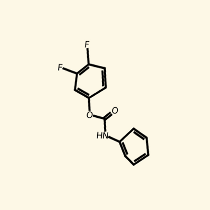 O=C(Nc1ccccc1)Oc1ccc(F)c(F)c1